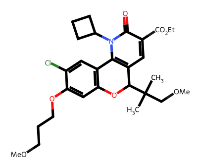 CCOC(=O)c1cc2c(n(C3CCC3)c1=O)-c1cc(Cl)c(OCCCOC)cc1OC2C(C)(C)COC